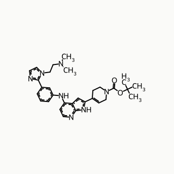 CN(C)CCn1ccnc1-c1cccc(Nc2ccnc3[nH]c(C4=CCN(C(=O)OC(C)(C)C)CC4)cc23)c1